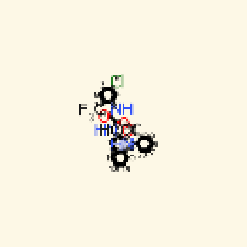 O=C(Nc1cc(Cl)ccc1C(F)(F)F)C(=O)NC(Cc1ccccc1)C(=O)Nc1ccccc1C(=O)O